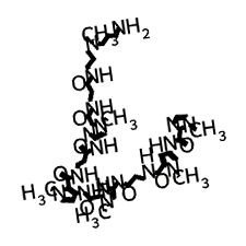 CN(CCCN)CCCNC(=O)CCNC(=O)c1nc(NC(=O)CCNC(=O)c2c(NC(=O)c3nc(NC(=O)CCNC(=O)c4cc(NC(=O)c5nccn5C)cn4C)cn3C)ccn2C)cn1C